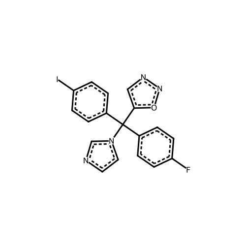 Fc1ccc(C(c2ccc(I)cc2)(c2cnno2)n2ccnc2)cc1